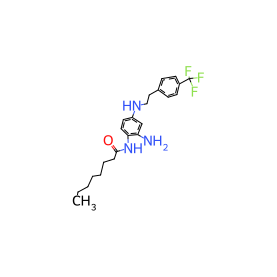 CCCCCCCC(=O)Nc1ccc(NCCc2ccc(C(F)(F)F)cc2)cc1N